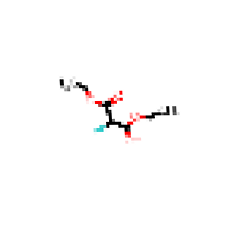 CCOC(=O)C(F)C(O)OCC